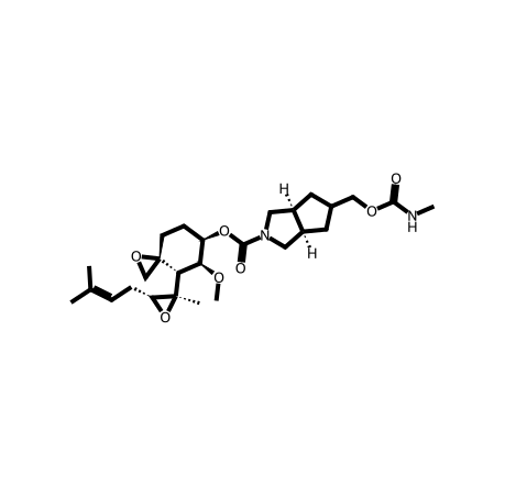 CNC(=O)OCC1C[C@@H]2CN(C(=O)O[C@@H]3CC[C@]4(CO4)[C@@H]([C@@]4(C)O[C@@H]4CC=C(C)C)[C@@H]3OC)C[C@@H]2C1